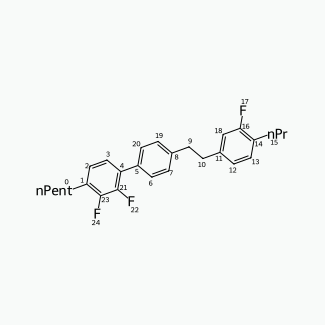 CCCCCc1ccc(-c2ccc(CCc3ccc(CCC)c(F)c3)cc2)c(F)c1F